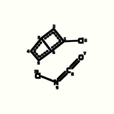 Clc1cc2ccc1-2.O=C=NCl